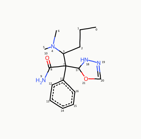 CCCC(N(C)C)C(C(N)=O)(c1ccccc1)C1NN=CO1